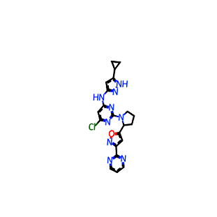 Clc1cc(Nc2cc(C3CC3)[nH]n2)nc(N2CCCC2c2cc(-c3ncccn3)no2)n1